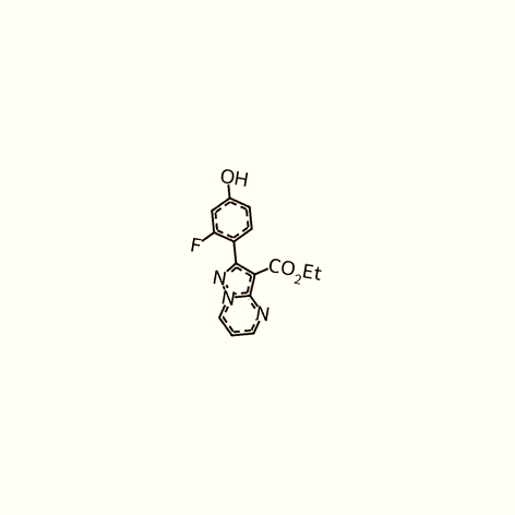 CCOC(=O)c1c(-c2ccc(O)cc2F)nn2cccnc12